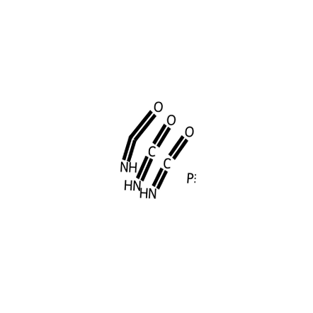 N=C=O.N=C=O.N=C=O.[P]